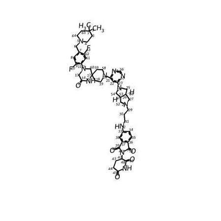 CC1(C)CCN(Cc2cc(F)c(N3CC(=O)NC4(CCN(c5cc(N6C[C@H]7CN(CCCNc8ccc9c(c8)C(=O)N(C8CCC(=O)NC8=O)C9=O)C[C@H]7C6)ncn5)CC4)C3)cc2F)CC1